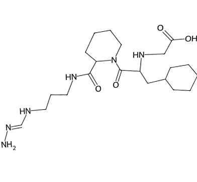 NN=CNCCCNC(=O)C1CCCCN1C(=O)C(CC1CCCCC1)NCC(=O)O